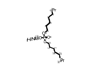 CC(C)CCCCCOP(=O)(O)OCCCCCC(C)C.[NaH]